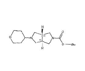 CC(C)(C)OC(=O)N1C[C@H]2CN(C3CCOCC3)C[C@@H]2C1